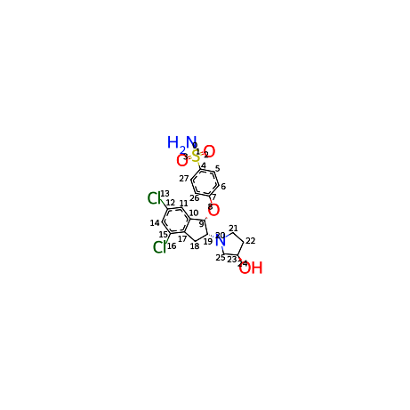 NS(=O)(=O)c1ccc(O[C@H]2c3cc(Cl)cc(Cl)c3C[C@H]2N2CC[C@@H](O)C2)cc1